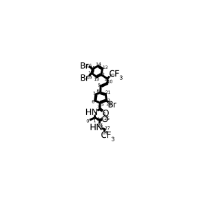 CC(NC(=O)c1ccc(/C=C/C(c2ccc(Br)c(Br)c2)C(F)(F)F)cc1Br)C(=O)NCC(F)(F)F